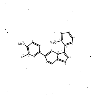 COc1ccc(-c2ccc3nnc(-c4ccccc4OC)n3c2)cc1Cl